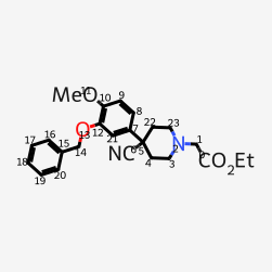 CCOC(=O)CN1CCC(C#N)(c2ccc(OC)c(OCc3ccccc3)c2)CC1